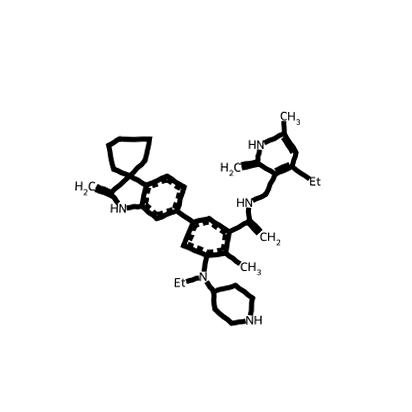 C=C1NC(C)=CC(CC)=C1CNC(=C)c1cc(-c2ccc3c(c2)NC(=C)C32CCCCC2)cc(N(CC)C2CCNCC2)c1C